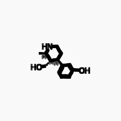 C[C@H]1NCC[C@@H](c2cccc(O)c2)[C@@H]1CO